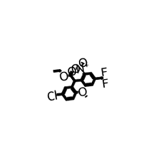 CCOC(=O)C(c1cc(Cl)ccc1OC)c1ccc(C(F)F)cc1[N+](=O)[O-]